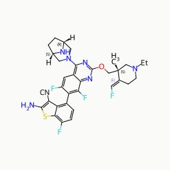 CCN1CC/C(=C\F)[C@](C)(COc2nc(N3C[C@H]4CC[C@@H](C3)N4)c3cc(F)c(-c4ccc(F)c5sc(N)c(C#N)c45)c(F)c3n2)C1